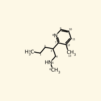 CCCC(CNC)c1ncccc1C